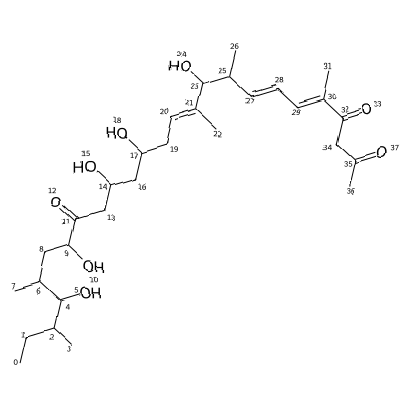 CCC(C)C(O)C(C)CC(O)C(=O)CC(O)CC(O)C/C=C(\C)C(O)C(C)/C=C/C=C(\C)C(=O)CC(C)=O